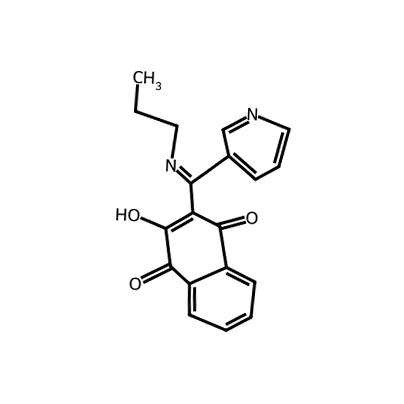 CCCN=C(C1=C(O)C(=O)c2ccccc2C1=O)c1cccnc1